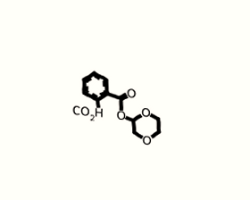 O=C(O)c1ccccc1C(=O)OC1COCCO1